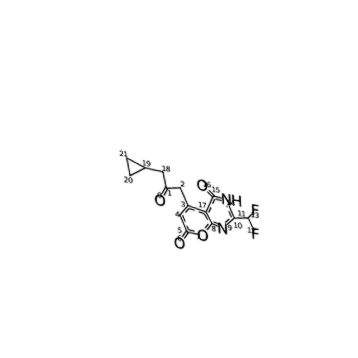 O=C(Cc1cc(=O)oc2nc(C(F)F)[nH]c(=O)c12)CC1CC1